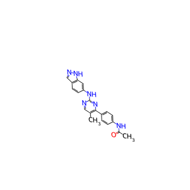 CC(=O)Nc1ccc(-c2nc(Nc3ccc4cn[nH]c4c3)ncc2C)cc1